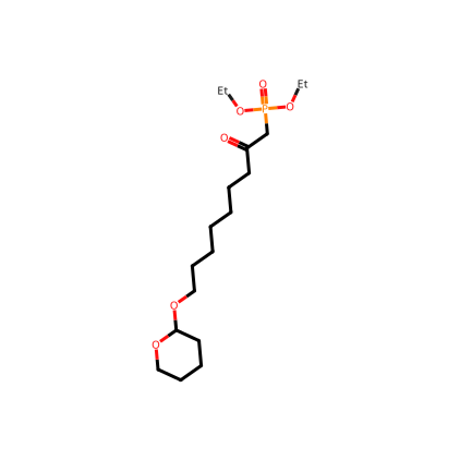 CCOP(=O)(CC(=O)CCCCCCCOC1CCCCO1)OCC